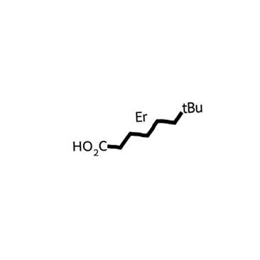 CC(C)(C)CCCCCC(=O)O.[Er]